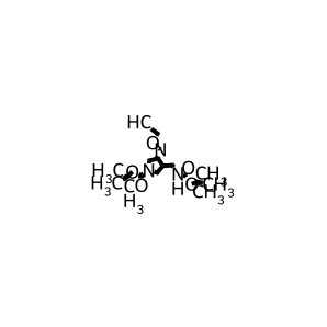 C#CCON=C1CN(C(=O)OC(C)(C)C)CC1CNC(=O)OC(C)(C)C